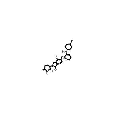 C=C1CCC(N2Cc3c(ccc(C[C@H]4OCCC[C@@H]4N[C@H]4CC[C@H](F)CC4)c3F)C2=O)C(=O)N1